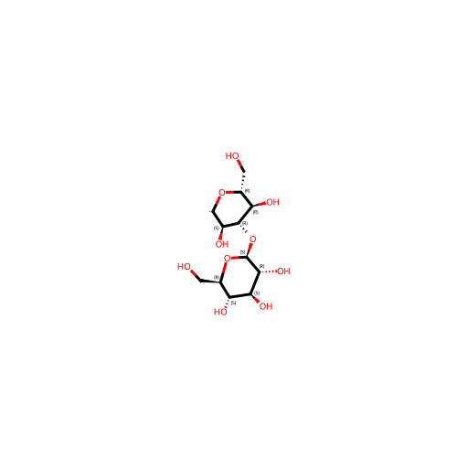 OC[C@H]1O[C@@H](O[C@H]2[C@H](O)[C@@H](CO)O[CH][C@@H]2O)[C@H](O)[C@@H](O)[C@@H]1O